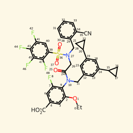 CCOc1cc(C(=O)O)cc(F)c1N(Cc1cc(C2CC2)cc(C2CC2)c1)C(=O)CN(Cc1ccccc1C#N)S(=O)(=O)c1cc(F)c(F)c(F)c1F